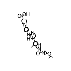 Cc1cc(-c2ccnc(Nc3ccc(N4CCC(C(=O)O)CC4)cc3)n2)ccc1CNC(=O)N1CC(OC(C)C)C1